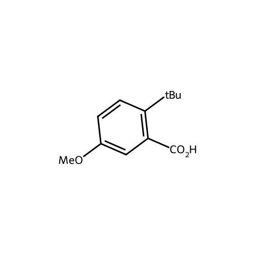 COc1ccc(C(C)(C)C)c(C(=O)O)c1